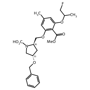 COC(=O)c1c(OC[C@H]2C[C@H](OCc3ccccc3)CN2C(=O)O)cc(C)cc1OC(C)CF